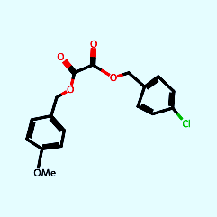 COc1ccc(COC(=O)C(=O)OCc2ccc(Cl)cc2)cc1